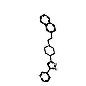 c1cncc(-c2cc(C3CCN(CCc4ccc5ccccc5c4)CC3)n[nH]2)c1